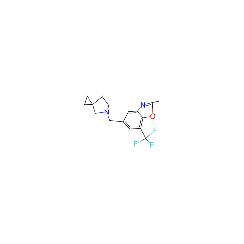 Cc1nc2cc(CN3CCC4(CC4)C3)cc(C(F)(F)F)c2o1